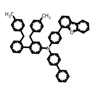 Cc1ccc(Cc2ccccc2-c2ccc(N(c3ccc(-c4ccccc4)cc3)c3ccc(-c4cccc5c4oc4ccccc45)cc3)cc2Cc2ccc(C)cc2)cc1